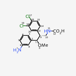 CO[C@@H](c1cccc(N)c1)[C@@H](CNC(=O)O)c1ccc(Cl)c(Cl)c1